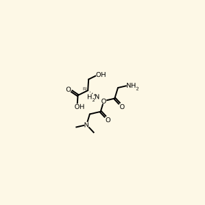 CN(C)CC(=O)OC(=O)CN.N[C@@H](CO)C(=O)O